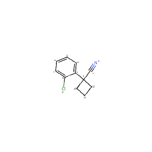 N#CC1(c2ccccc2Cl)CCC1